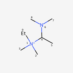 CC[N+](C)(C)C(C)N(C)C